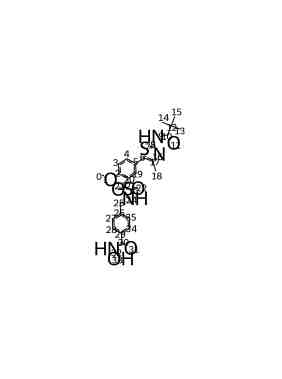 COc1ccc(-c2sc(NC(=O)C(C)(C)C)nc2C)cc1S(=O)(=O)NCc1ccc(C(=O)NO)cc1